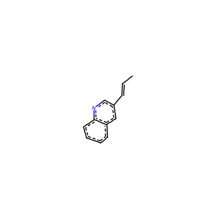 [CH2]/C=C/c1cnc2ccccc2c1